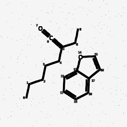 CCCCCC(=C=O)CC.c1ccc2occc2c1